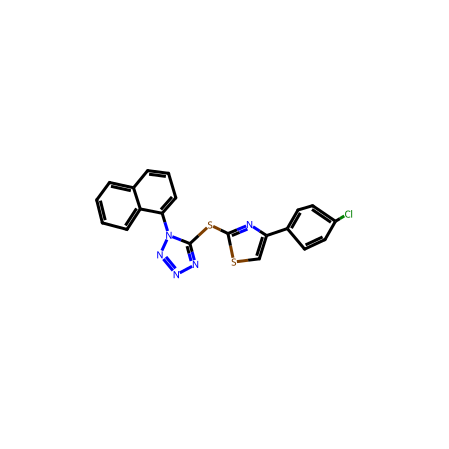 Clc1ccc(-c2csc(Sc3nnnn3-c3cccc4ccccc34)n2)cc1